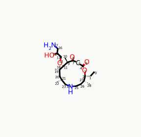 CC[C@H]1OC(=O)CC(=O)[C@H](C)[C@@H](OCC(O)CN)[C@@H](C)C[C@@H](C)CNCC[C@H]1C